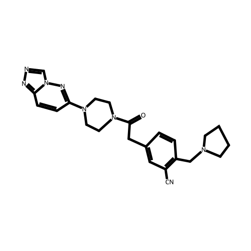 N#Cc1cc(CC(=O)N2CCN(c3ccc4nncn4n3)CC2)ccc1CN1CCCC1